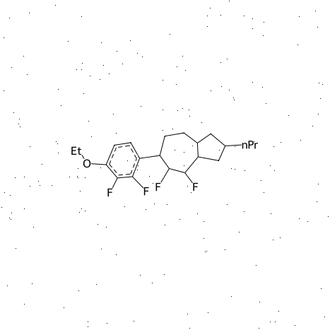 CCCC1CC2CCC(c3ccc(OCC)c(F)c3F)C(F)C(F)C2C1